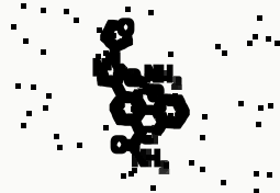 NC(=O)Cc1ccc(-c2cnn(C3CCOC3)c2)c(S(N)(=O)=O)c1-c1ccccc1Cl